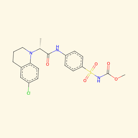 COC(=O)NS(=O)(=O)c1ccc(NC(=O)[C@@H](C)N2CCCc3cc(Cl)ccc32)cc1